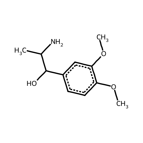 COc1ccc(C(O)C(C)N)cc1OC